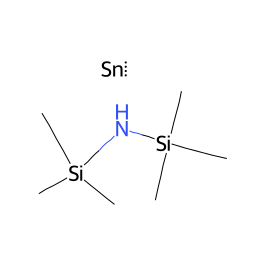 C[Si](C)(C)N[Si](C)(C)C.[Sn]